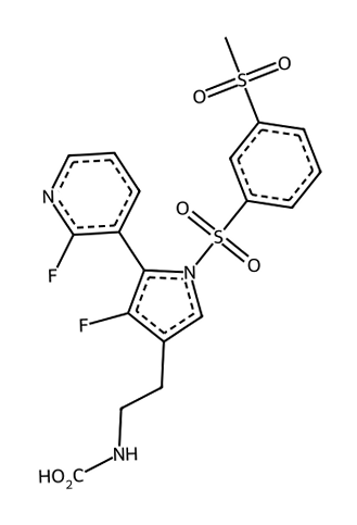 CS(=O)(=O)c1cccc(S(=O)(=O)n2cc(CCNC(=O)O)c(F)c2-c2cccnc2F)c1